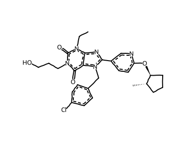 CCn1c(=O)n(CCCO)c(=O)c2c1nc(-c1ccc(O[C@H]3CCC[C@@H]3C)nc1)n2Cc1ccc(Cl)cc1